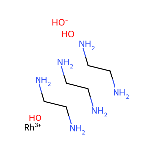 NCCN.NCCN.NCCN.[OH-].[OH-].[OH-].[Rh+3]